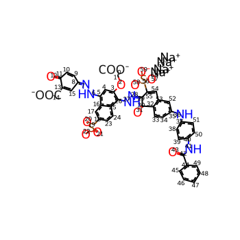 O=C([O-])COc1cc(N/N=C2/C=CC(=O)C(C(=O)[O-])=C2)c2cc(S(=O)(=O)[O-])ccc2c1N/N=C1\C(=O)c2ccc(Nc3ccc(NC(=O)c4ccccc4)cc3)cc2C=C1S(=O)(=O)[O-].[Na+].[Na+].[Na+].[Na+]